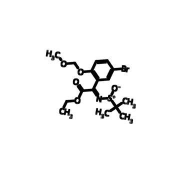 CCOC(=O)/C(=N/[S+]([O-])C(C)(C)C)c1cc(Br)ccc1OCOC